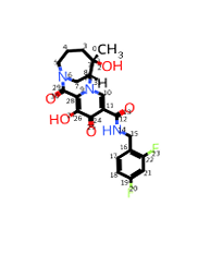 C[C@]1(O)CCCN2C[C@H]1n1cc(C(=O)NCc3ccc(F)cc3F)c(=O)c(O)c1C2=O